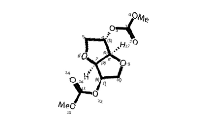 COC(=O)O[C@H]1CO[C@H]2[C@@H]1OC[C@H]2OC(=O)OC